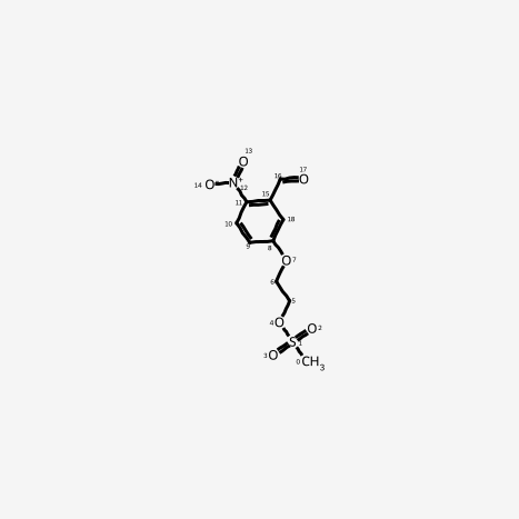 CS(=O)(=O)OCCOc1ccc([N+](=O)[O-])c(C=O)c1